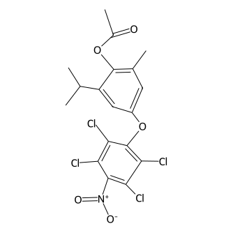 CC(=O)Oc1c(C)cc(Oc2c(Cl)c(Cl)c([N+](=O)[O-])c(Cl)c2Cl)cc1C(C)C